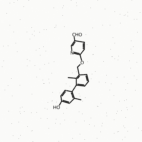 Cc1cc(O)ccc1-c1cccc(COc2ccc(C=O)cn2)c1C